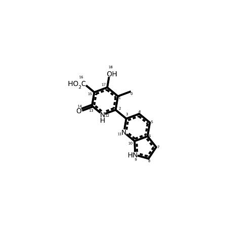 Cc1c(-c2ccc3cc[nH]c3n2)[nH]c(=O)c(C(=O)O)c1O